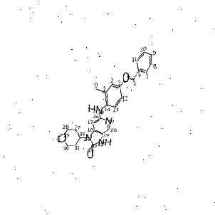 Cc1cc(OCc2ccccc2)ccc1Nc1cc2c(cn1)[nH]c(=O)n2C1CCOCC1